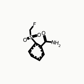 NC(=O)c1ccccc1S(=O)(=O)CF